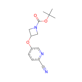 CC(C)(C)OC(=O)N1CC(Oc2ccc(C#N)nc2)C1